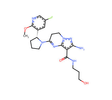 COc1ncc(F)cc1[C@H]1CCCN1C1=Nc2c(C(=O)NCCCO)c(N)nn2CC1